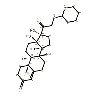 C[C@]12CCC(=O)C=C1CC[C@@H]1[C@@H]2CC[C@@]2(C)[C@H]1CC[C@]2(O)C(=O)COC1CCCCO1